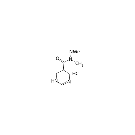 CNN(C)C(=O)C1CN=CNC1.Cl